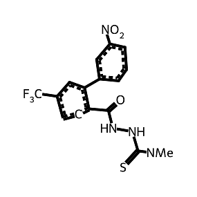 CNC(=S)NNC(=O)c1ccc(C(F)(F)F)cc1-c1cccc([N+](=O)[O-])c1